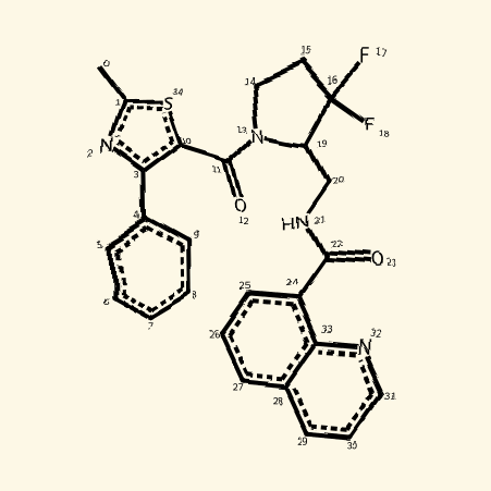 Cc1nc(-c2ccccc2)c(C(=O)N2CCC(F)(F)C2CNC(=O)c2cccc3cccnc23)s1